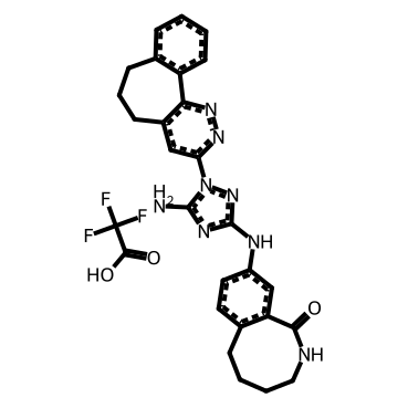 Nc1nc(Nc2ccc3c(c2)C(=O)NCCCC3)nn1-c1cc2c(nn1)-c1ccccc1CCC2.O=C(O)C(F)(F)F